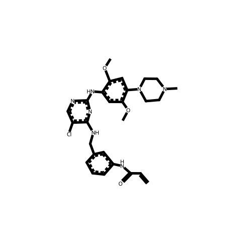 C=CC(=O)Nc1cccc(CNc2nc(Nc3cc(OC)c(N4CCN(C)CC4)cc3OC)ncc2Cl)c1